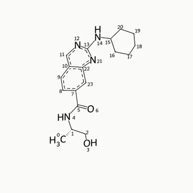 C[C@@H](CO)NC(=O)c1ccc2cnc(NC3CCCCC3)nc2c1